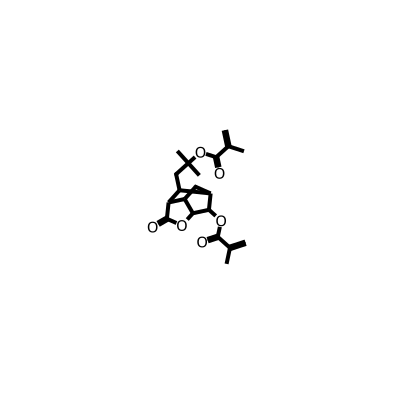 C=C(C)C(=O)OC1C2CC3C1OC(=O)C3C2CC(C)(C)OC(=O)C(=C)C